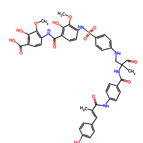 COc1c(NC(=O)c2ccc(NS(=O)(=O)c3ccc(NCC(C)(C=O)NC(=O)c4ccc(NC(=O)/C(C)=C/c5ccc(O)cc5)cc4)cc3)c(OC)c2O)ccc(C(=O)O)c1O